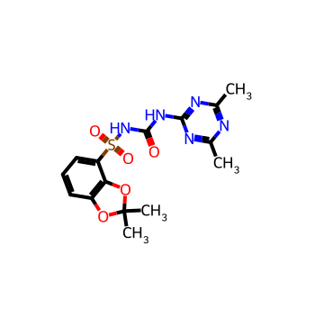 Cc1nc(C)nc(NC(=O)NS(=O)(=O)c2cccc3c2OC(C)(C)O3)n1